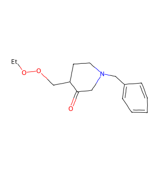 CCOOCC1CCN(Cc2ccccc2)CC1=O